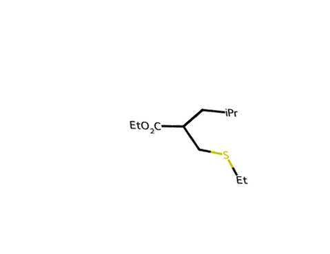 CCOC(=O)C(CSCC)CC(C)C